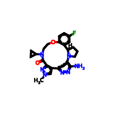 Cn1cc2c(n1)C(=O)N(C1CC1)CCOc1ccc(F)cc1[C@H]1CCCN1c1cc-2nnc1N